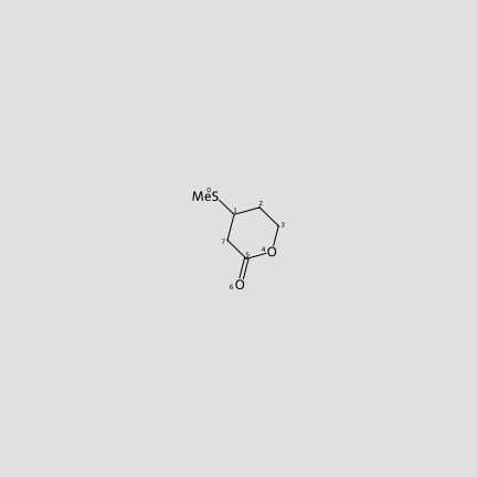 CSC1CCOC(=O)C1